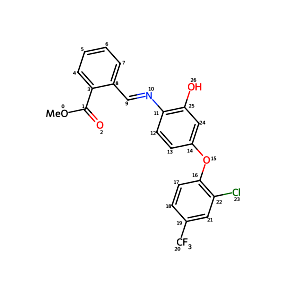 COC(=O)c1ccccc1C=Nc1ccc(Oc2ccc(C(F)(F)F)cc2Cl)cc1O